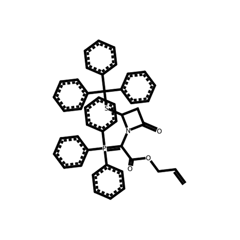 C=CCOC(=O)C(N1C(=O)CC1SC(c1ccccc1)(c1ccccc1)c1ccccc1)=P(c1ccccc1)(c1ccccc1)c1ccccc1